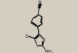 N#Cc1ccc(-c2nc(N)sc2Cl)cc1